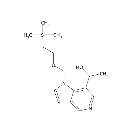 CC(O)c1cncc2ncn(COCC[Si](C)(C)C)c12